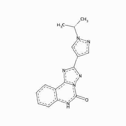 CC(C)n1cc(-c2nc3c4ccccc4[nH]c(=O)n3n2)cn1